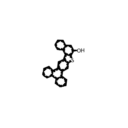 Oc1cc2ccccc2c2c1sc1cc3c4ccccc4c4ccccc4c3cc12